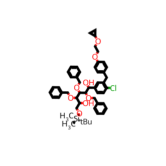 CC(C)(C)[Si](C)(C)OCC(O)C(OCc1ccccc1)C(OCc1ccccc1)C(OCc1ccccc1)C(O)c1ccc(Cl)c(Cc2ccc(OCCOC3CC3)cc2)c1